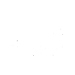 CC(C)Cc1nc(-c2ccc3[nH]nc(-c4ccc5cc(OCc6cncn6C)ccc5c4)c3c2)n[nH]1